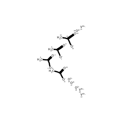 CC(=O)[O-].CC(=O)[O-].CC(=O)[O-].CC(=O)[O-].[O-2].[O-2].[O-2].[O-2].[V+4].[V+4].[V+4]